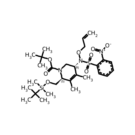 C=CCON([C@H]1CN(C(=O)OC(C)(C)C)[C@H](CO[Si](C)(C)C(C)(C)C)C(C)=C1C)S(=O)(=O)c1ccccc1[N+](=O)[O-]